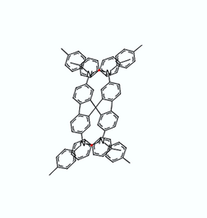 Cc1ccc(N(c2ccccc2)c2ccc3c(c2)C2(c4cc(N(c5ccc(C)cc5)c5ccc(C)cc5)ccc4-3)c3cc(N(c4ccc(C)cc4)c4ccc(C)cc4)ccc3-c3ccc(N(c4ccc(C)cc4)c4ccc(C)cc4)cc32)cc1